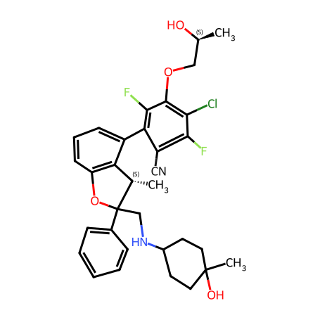 C[C@H](O)COc1c(F)c(-c2cccc3c2[C@H](C)C(CNC2CCC(C)(O)CC2)(c2ccccc2)O3)c(C#N)c(F)c1Cl